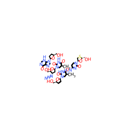 Cc1cn([C@H]2C=C[C@@H](CO)O2)c(=O)[nH]c1=O.Cc1cn([C@H]2C[C@H](N=[N+]=[N-])[C@@H](CO)O2)c(=O)[nH]c1=O.Nc1ccn([C@@H]2CS[C@H](CO)O2)c(=O)n1.O=c1nc[nH]c2c1ncn2[C@H]1CC[C@@H](CO)O1